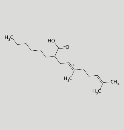 CCCCCCC(C/C=C(\C)CCC=C(C)C)C(=O)O